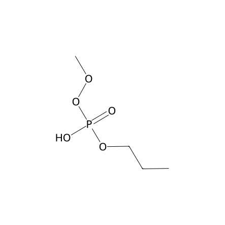 CCCOP(=O)(O)OOC